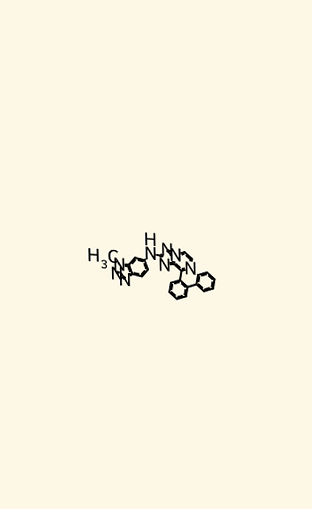 Cn1nnc2ccc(Nc3nc4c(-c5ccccc5-c5ccccc5)nccn4n3)cc21